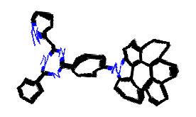 c1ccc(-c2nc(-c3ccc(-n4c5cccc6c5c5c7c(ccc8ccc9cccc-6c9c87)ccc54)cc3)nc(-c3ccccn3)n2)cc1